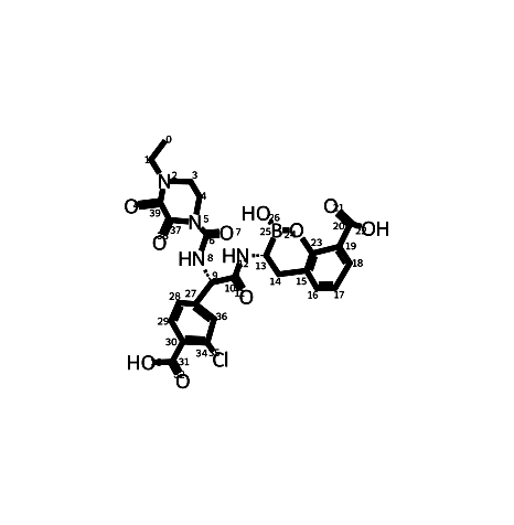 CCN1CCN(C(=O)N[C@H](C(=O)N[C@H]2Cc3cccc(C(=O)O)c3OB2O)c2ccc(C(=O)O)c(Cl)c2)C(=O)C1=O